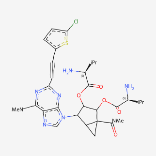 CNC(=O)C12CC1C(n1cnc3c(NC)nc(C#Cc4ccc(Cl)s4)nc31)C(OC(=O)[C@@H](N)C(C)C)C2OC(=O)[C@@H](N)C(C)C